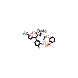 CCC[C@@H]1CN(Cc2cc(C(CC(=O)OC)c3ccc(C(C)=O)o3)ccc2C)S(=O)(=O)c2ccccc2O1